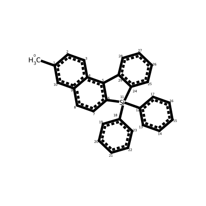 Cc1ccc2c3c(ccc2c1)[Si](c1ccccc1)(c1ccccc1)c1ccccc1-3